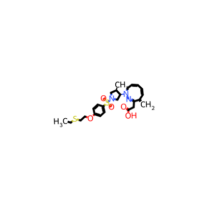 C=C1/C=C\C=C/CN([C@H]2CN(S(=O)(=O)c3ccc(OCCSCC)cc3)C[C@H]2C)/N=C\1CC(=O)O